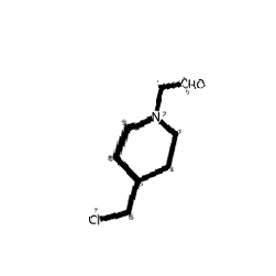 O=CCN1CCC(CCl)CC1